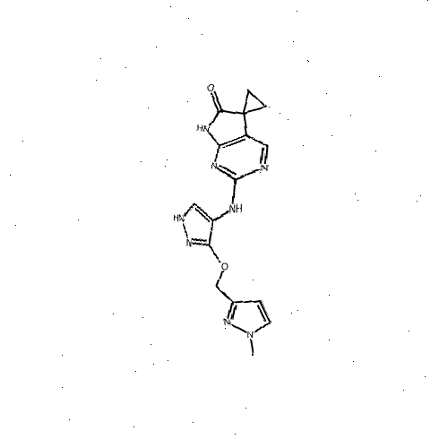 Cn1ccc(COc2n[nH]cc2Nc2ncc3c(n2)NC(=O)C32CC2)n1